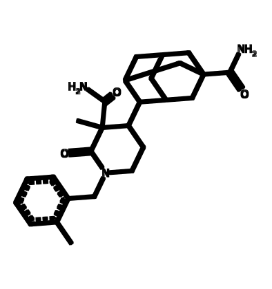 Cc1ccccc1CN1CCC(C2C3CC4CC2CC(C(N)=O)(C4)C3)C(C)(C(N)=O)C1=O